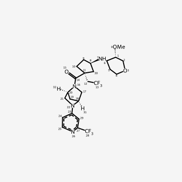 CO[C@@H]1COCC[C@@H]1N[C@@H]1CC[C@](CC(F)(F)F)(C(=O)N2C[C@@H]3C[C@H]2CN3c2ccnc(C(F)(F)F)c2)C1